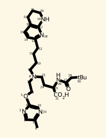 Cc1cnc(OCCN(CCCCc2ccc3c(n2)NCCC3)CCC(NC(=O)CC(C)(C)C)C(=O)O)cn1